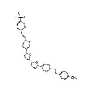 Cc1ccc(/C=C/c2ccc(-c3ccc(-c4ccc(-c5ccc(/C=C/c6ccc(C(F)(F)F)cc6)cc5)s4)s3)cc2)cc1